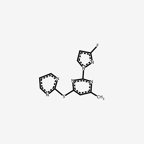 Cc1cc(Sc2ncccn2)nc(-n2ccc(F)n2)n1